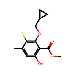 COC(=O)c1c(O)cc(C)c(F)c1OCC1CC1